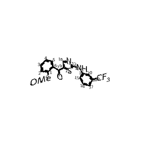 COc1ccccc1C(=O)c1cnc(Nc2cccc(C(F)(F)F)c2)s1